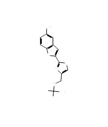 CC(C)(C)NCc1csc(-c2cc3cc(O)ccc3o2)n1